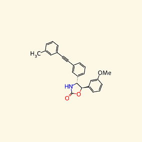 COc1cccc([C@H]2OC(=O)N[C@@H]2c2cccc(C#Cc3cccc(C)c3)c2)c1